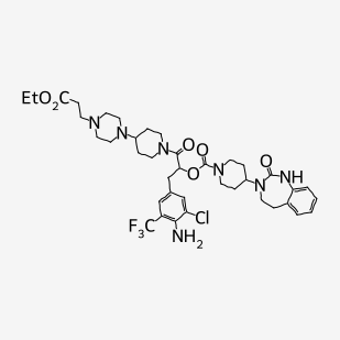 CCOC(=O)CCN1CCN(C2CCN(C(=O)C(Cc3cc(Cl)c(N)c(C(F)(F)F)c3)OC(=O)N3CCC(N4CCc5ccccc5NC4=O)CC3)CC2)CC1